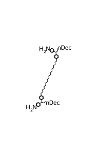 CCCCCCCCCCCCC(c1ccc(N)cc1)c1ccc(CCCCCCCCCCCCCCCCCCCCc2ccc(C(CCCCCCCCCCCC)c3ccc(N)cc3)cc2)cc1